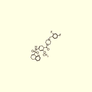 COC1=CC(NS(=O)(=O)C2=CCCc3cccnc32)=CCC1C(=O)N1CCN(Cc2ccc(F)cc2F)CC1